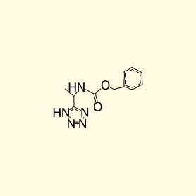 CC(NC(=O)OCc1ccccc1)c1nnn[nH]1